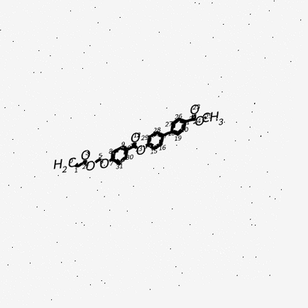 C=CC(=O)OCOc1ccc(C(=O)Oc2ccc(-c3ccc(C(=O)OC)cc3)cc2)cc1